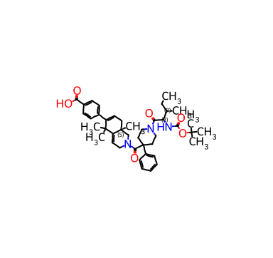 CC[C@@H](C)[C@@H](NC(=O)OC(C)(C)C)C(=O)N1CCC(C(=O)N2CC=C3C(C)(C)C(c4ccc(C(=O)O)cc4)=CC[C@]3(C)C2)(c2ccccc2)CC1